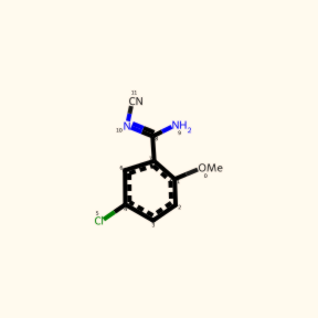 COc1ccc(Cl)cc1/C(N)=N/C#N